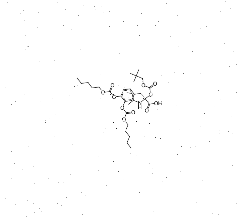 CCCCCOC(=O)Oc1ccc(C[C@](NC(C)CC)(OC(=O)OCC(C)(C)C)C(=O)O)cc1OC(=O)OCCCCC